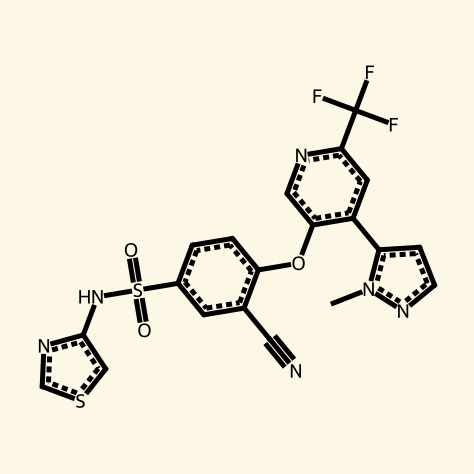 Cn1nccc1-c1cc(C(F)(F)F)ncc1Oc1ccc(S(=O)(=O)Nc2cscn2)cc1C#N